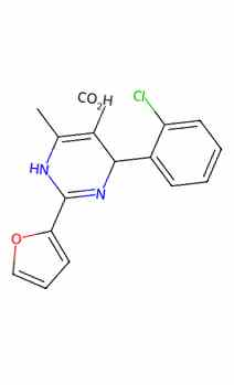 CC1=C(C(=O)O)C(c2ccccc2Cl)N=C(c2ccco2)N1